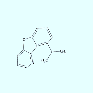 CC(C)c1cccc2oc3cccnc3c12